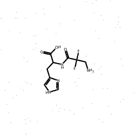 NCC(F)(F)C(=O)NC(Cc1c[nH]cn1)C(=O)O